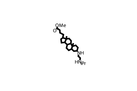 COC(=O)CCCC1CCC2C3CCC4CC(NCCNC(C)C)CCC4(C)C3CCC12C